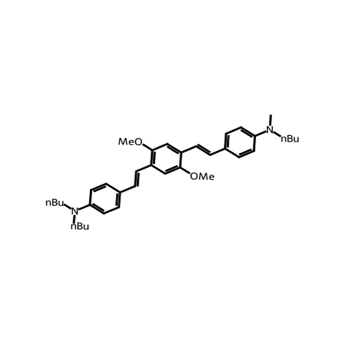 CCCCN(C)c1ccc(/C=C/c2cc(OC)c(/C=C/c3ccc(N(CCCC)CCCC)cc3)cc2OC)cc1